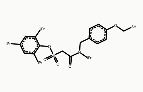 CC(C)c1cc(C(C)C)c(OS(=O)(=O)CC(=O)N(Cc2ccc(OCS)cc2)C(C)C)c(C(C)C)c1